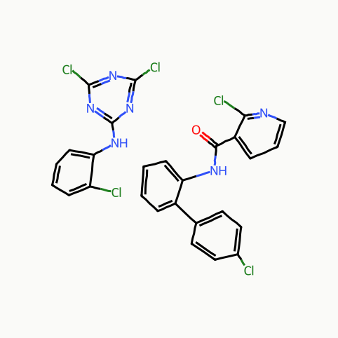 Clc1nc(Cl)nc(Nc2ccccc2Cl)n1.O=C(Nc1ccccc1-c1ccc(Cl)cc1)c1cccnc1Cl